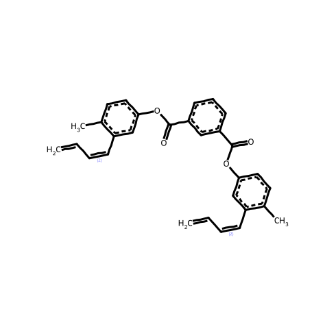 C=C/C=C\c1cc(OC(=O)c2cccc(C(=O)Oc3ccc(C)c(/C=C\C=C)c3)c2)ccc1C